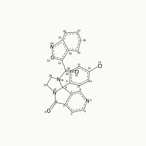 O=C1c2ccncc2C2(c3ccc(Cl)cc3)N1CCN2C(=O)c1onc2ccccc12